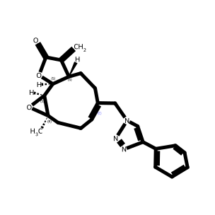 C=C1C(=O)O[C@H]2[C@H]1CC/C(Cn1cc(-c3ccccc3)nn1)=C\CC[C@@]1(C)O[C@@H]21